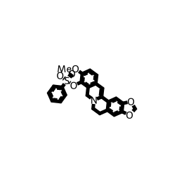 COc1ccc2c(c1OS(=O)(=O)c1ccccc1)CN1CCc3cc4c(cc3C1=C2)OCO4